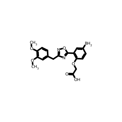 Bc1ccc(OCC(=O)O)c(-c2nc(Cc3ccc(OC)c(OC)c3)no2)c1